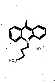 Cc1c2ccccc2[n+](CCCS(=O)(=O)O)c2ccccc12.[OH-]